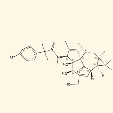 CC1=C[C@]23C(=O)[C@@H](C=C(CO)[C@@H](O)[C@]2(O)[C@H]1N(C)C(=O)C(C)(C)c1ccc(Cl)cc1)[C@H]1[C@@H](C[C@H]3C)C1(C)C